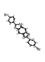 Brc1ccc(-c2nc3cc4nc(-c5ccc(Br)cc5)oc4cc3o2)cc1